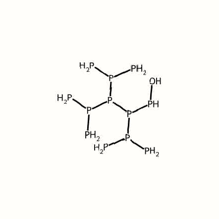 OPP(P(P)P)P(P(P)P)P(P)P